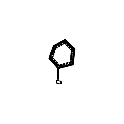 [Cs][c]1ccccc1